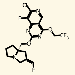 F/C=C1\CN2CCC[C@@]2(COc2nc(OCC(F)(F)F)c3cnc(Cl)c(F)c3n2)C1